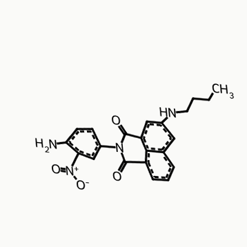 CCCCNc1cc2c3c(cccc3c1)C(=O)N(c1ccc(N)c([N+](=O)[O-])c1)C2=O